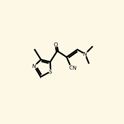 Cc1n[c]sc1C(=O)/C(C#N)=C/N(C)C